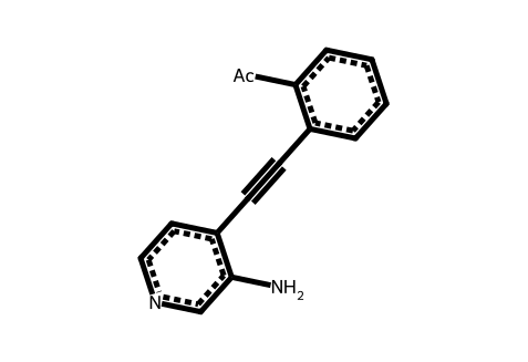 CC(=O)c1ccccc1C#Cc1ccncc1N